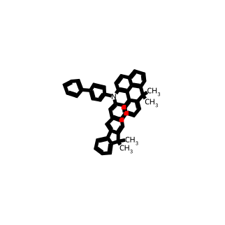 CC1(C)c2ccccc2-c2ccc(-c3ccc4c(c3)-c3c(N(C5=CCCC=C5)c5ccc(-c6ccccc6)cc5)ccc5cccc(c35)C4(C)C)cc21